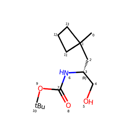 CC1(C[C@H](CO)NC(=O)OC(C)(C)C)CCC1